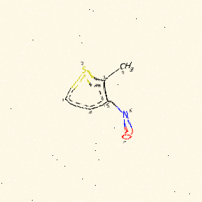 Cc1sccc1N=O